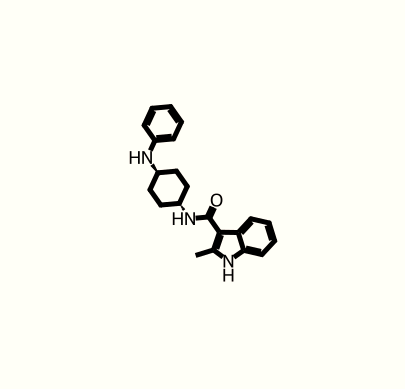 Cc1[nH]c2ccccc2c1C(=O)N[C@H]1CC[C@H](Nc2ccccc2)CC1